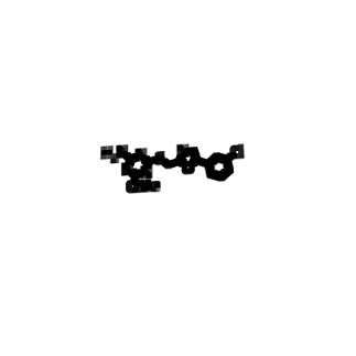 COc1nc(N)nc(SCc2ncc(-c3cccc(Cl)c3)o2)n1